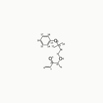 C=CC(=O)C(C)OCCC(C)(C)Oc1ccccc1